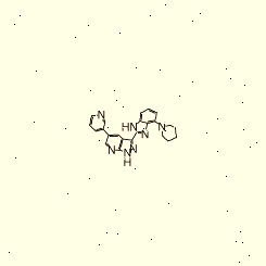 c1cncc(-c2cnc3[nH]nc(-c4nc5c(N6CCCCC6)cccc5[nH]4)c3c2)c1